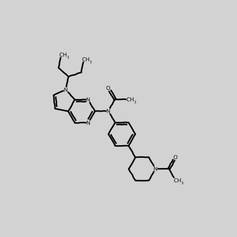 CCC(CC)n1ccc2cnc(N(C(C)=O)c3ccc(C4CCCN(C(C)=O)C4)cc3)nc21